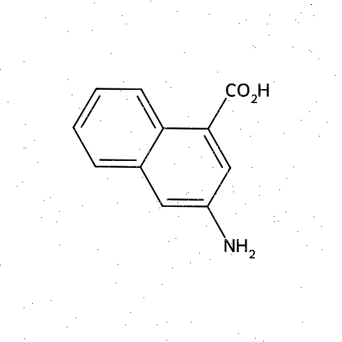 Nc1cc(C(=O)O)c2ccccc2c1